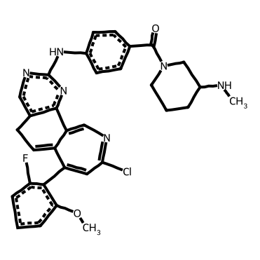 CNC1CCCN(C(=O)c2ccc(Nc3ncc4c(n3)C3=CN=C(Cl)C=C(c5c(F)cccc5OC)C3=CC4)cc2)C1